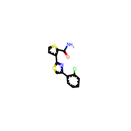 NC(=O)c1sccc1-c1nc(-c2ccccc2Cl)cs1